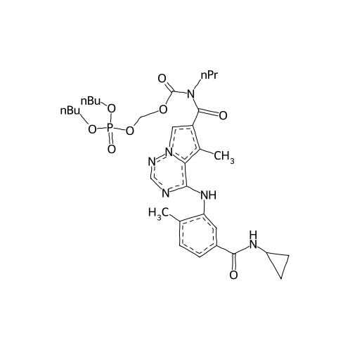 CCCCOP(=O)(OCCCC)OCOC(=O)N(CCC)C(=O)c1cn2ncnc(Nc3cc(C(=O)NC4CC4)ccc3C)c2c1C